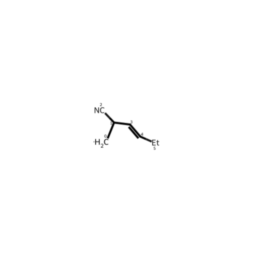 [CH2]C(C#N)C=CCC